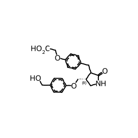 O=C(O)COc1ccc(CC2C(=O)NC[C@@H]2COc2ccc(CO)cc2)cc1